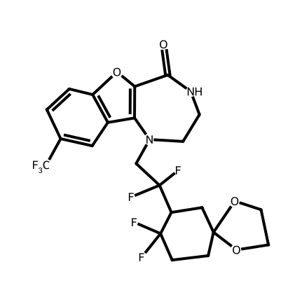 O=C1NCCN(CC(F)(F)C2CC3(CCC2(F)F)OCCO3)c2c1oc1ccc(C(F)(F)F)cc21